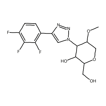 COC1COC(CO)C(O)C1n1cc(-c2ccc(F)c(F)c2F)nn1